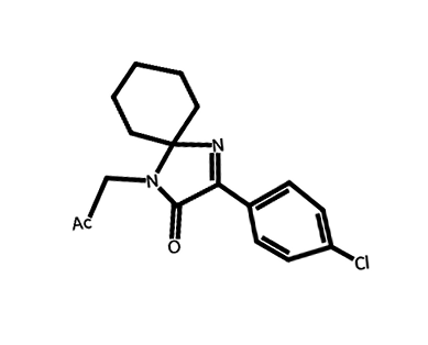 CC(=O)CN1C(=O)C(c2ccc(Cl)cc2)=NC12CCCCC2